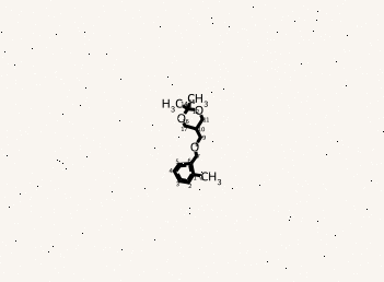 Cc1ccccc1COCC1COC(C)(C)OC1